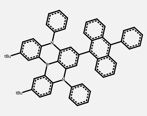 CC(C)(C)c1ccc2c(c1)B1c3cc(C(C)(C)C)ccc3N(c3ccccc3)c3cc(-c4c5ccccc5c(-c5ccccc5)c5ccccc45)cc(c31)N2c1ccccc1